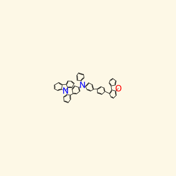 c1ccc(N(c2ccc(-c3ccc(-c4cccc5oc6ccccc6c45)cc3)cc2)c2ccc(-c3ccccc3-n3c4ccccc4c4ccccc43)cc2)cc1